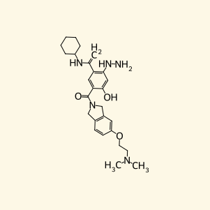 C=C(NC1CCCCC1)c1cc(C(=O)N2Cc3ccc(OCCN(C)C)cc3C2)c(O)cc1NN